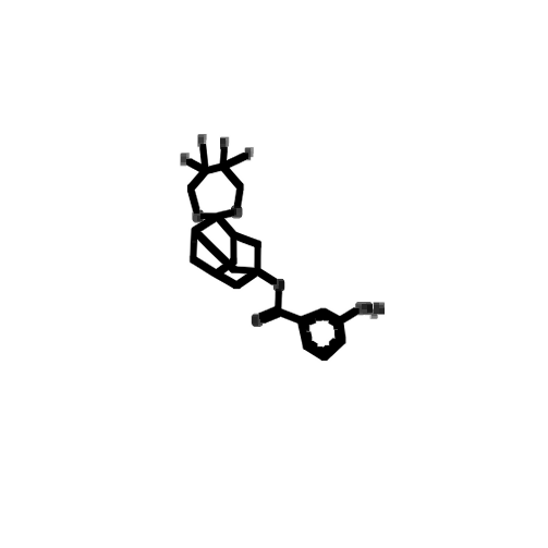 O=C(OC12CC3CC(C1)C1(OCC(F)(F)C(F)(F)CO1)C(C3)C2)c1cccc(S(=O)(=O)O)c1